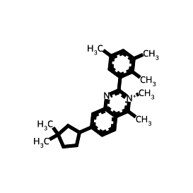 Cc1cc(C)c(C)c(-c2nc3cc(C4CCC(C)(C)C4)ccc3c(C)[n+]2C)c1